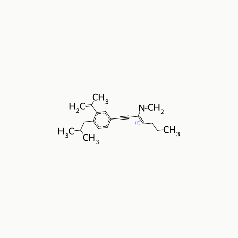 C=N/C(C#Cc1ccc(CC(C)C)c(C(=C)C)c1)=C\CCC